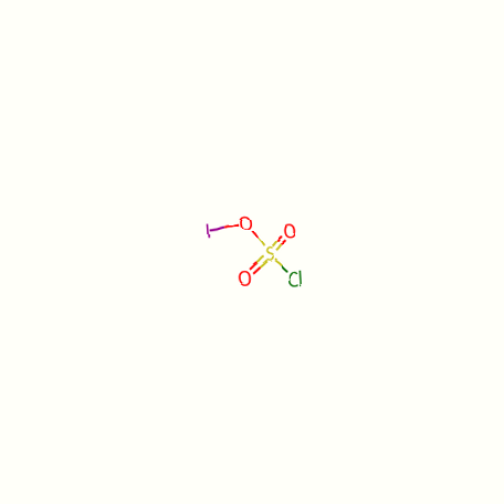 O=S(=O)(Cl)OI